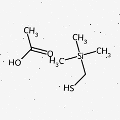 CC(=O)O.C[Si](C)(C)CS